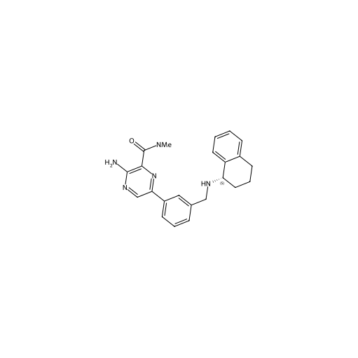 CNC(=O)c1nc(-c2cccc(CN[C@H]3CCCc4ccccc43)c2)cnc1N